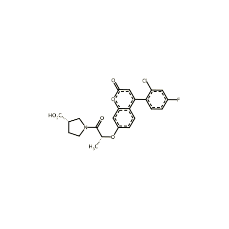 C[C@@H](Oc1ccc2c(-c3ccc(F)cc3Cl)cc(=O)oc2c1)C(=O)N1CC[C@H](C(=O)O)C1